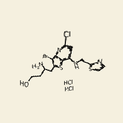 Cl.Cl.NC(CCO)Cc1sc2c(NCc3nccs3)cc(Cl)nc2c1Br